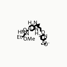 CCC(OC)C1N=C(N2CCC(C3(N)CC3(N)CCOc3ccc([S+](C)[O-])cn3)CC2)ON1